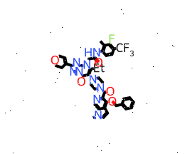 CCc1c(N2CCN(C(=O)c3ncc4c(ccn4C)c3OCc3ccccc3)CC2)c(=O)n2nc(C3=CCOCC3)nc2n1CC(=O)Nc1ccc(C(F)(F)F)c(F)c1C